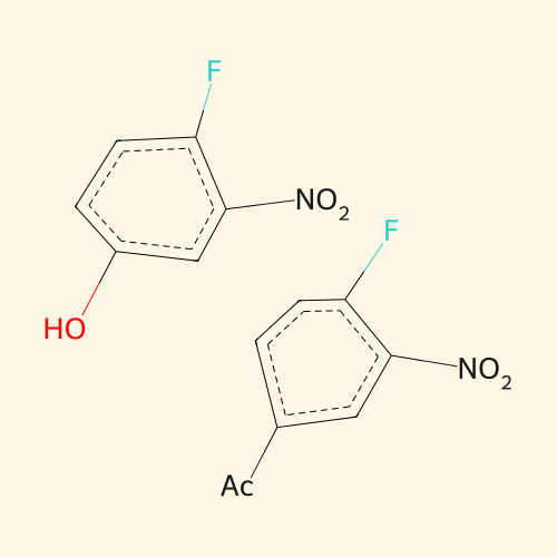 CC(=O)c1ccc(F)c([N+](=O)[O-])c1.O=[N+]([O-])c1cc(O)ccc1F